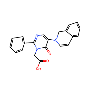 O=C(O)Cn1c(-c2ccccc2)ncc(N2C=Cc3ccccc3C2)c1=O